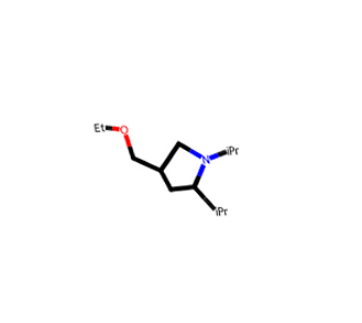 CCOCC1CC(C(C)C)N(C(C)C)C1